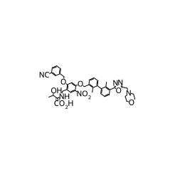 Cc1c(COc2cc(OCc3cccc(C#N)c3)c(CN[C@H](C(=O)O)C(C)O)cc2[N+](=O)[O-])cccc1-c1cccc(-c2nnc(CN3CCOCC3)o2)c1C